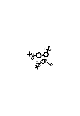 COCC[C@H]1CN(C(=O)OC(C)(C)C)C[C@@H]1c1ccc(C(F)(F)F)cc1N1CCC(C(=O)OC(C)(C)C)CC1